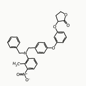 Cc1c(N(Cc2ccccc2)Cc2ccc(Oc3cccc(OC4CCOC4=O)c3)cc2)cccc1[N+](=O)[O-]